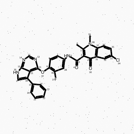 Cc1c(C(=O)Nc2ccc(Oc3ncnc4[nH]cc(-c5ccccc5)c34)c(F)c2)c(=O)c2cc(Cl)ccc2n1C